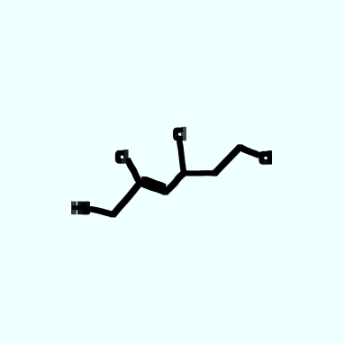 SCC(Cl)=CC(Cl)CCCl